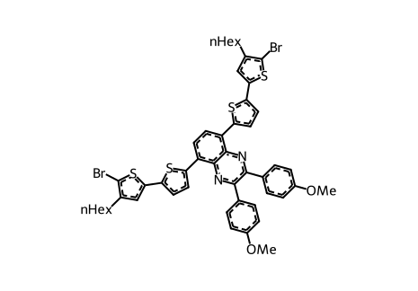 CCCCCCc1cc(-c2ccc(-c3ccc(-c4ccc(-c5cc(CCCCCC)c(Br)s5)s4)c4nc(-c5ccc(OC)cc5)c(-c5ccc(OC)cc5)nc34)s2)sc1Br